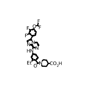 CCc1cc(Nc2nccn3c(-c4ccc(OC(F)F)c(F)c4F)cnc23)ccc1C(=O)N1CCC(C(=O)O)CC1